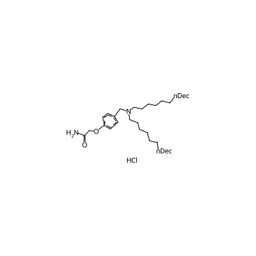 CCCCCCCCCCCCCCCCN(CCCCCCCCCCCCCCCC)Cc1ccc(OCC(N)=O)cc1.Cl